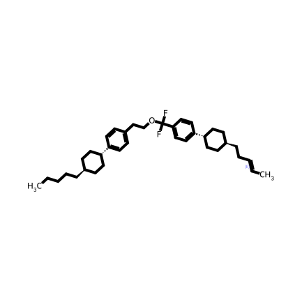 C/C=C/CC[C@H]1CC[C@H](c2ccc(C(F)(F)OCCc3ccc([C@H]4CC[C@H](CCCCC)CC4)cc3)cc2)CC1